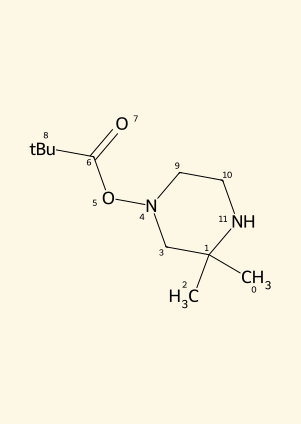 CC1(C)CN(OC(=O)C(C)(C)C)CCN1